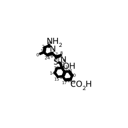 Cc1cc(N)nc(-c2cnc(C3(O)CCCc4cc(C(=O)O)ccc43)s2)c1